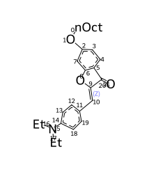 CCCCCCCCOc1ccc2c(c1)O/C(=C\c1ccc(N(CC)CC)cc1)C2=O